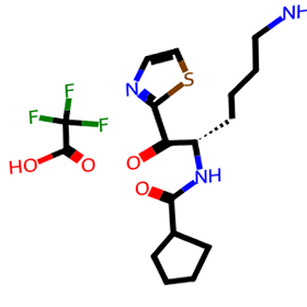 NCCCC[C@H](NC(=O)C1CCCC1)C(=O)c1nccs1.O=C(O)C(F)(F)F